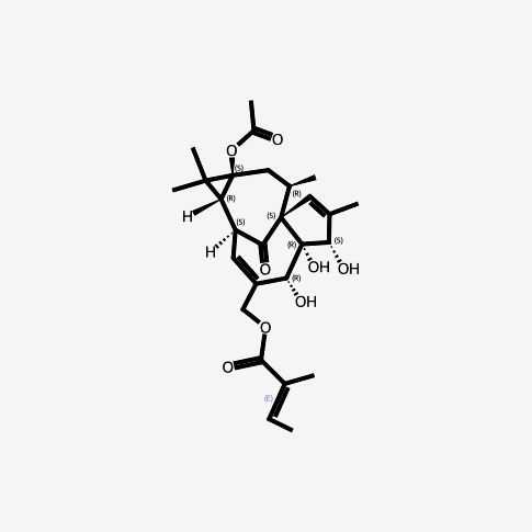 C/C=C(\C)C(=O)OCC1=C[C@@H]2C(=O)[C@]3(C=C(C)[C@H](O)[C@@]3(O)[C@@H]1O)[C@H](C)C[C@]1(OC(C)=O)[C@H]2C1(C)C